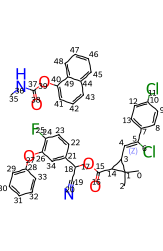 CC1(C)C(/C=C(\Cl)c2ccc(Cl)cc2)C1C(=O)OC(C#N)c1ccc(F)c(Oc2ccccc2)c1.CNC(=O)Oc1cccc2ccccc12